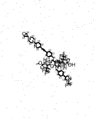 COC(=O)N[C@H](C(=O)N[C@@H](Cc1ccc(C#Cc2ccc(N3CCN(C4COC4)CC3)nc2)cc1)[C@@H](O)CN(Cc1ccc(-c2cnn(C(F)F)c2)cc1)NC(=O)[C@@H](NC(=O)O)C(C)(C)C(F)(F)F)C(C)(C)C(F)(F)F